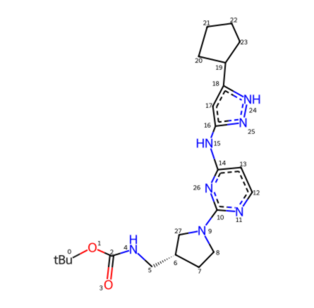 CC(C)(C)OC(=O)NC[C@H]1CCN(c2nccc(Nc3cc(C4CCCC4)[nH]n3)n2)C1